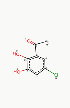 CCC(=O)c1cc(Cl)cc(O)c1O